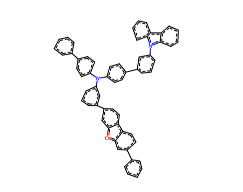 c1ccc(-c2ccc(N(c3ccc(-c4cccc(-n5c6ccccc6c6ccccc65)c4)cc3)c3cccc(-c4ccc5c(c4)oc4cc(-c6ccccc6)ccc45)c3)cc2)cc1